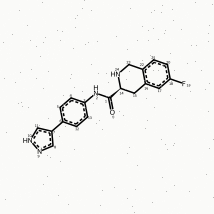 O=C(Nc1ccc(-c2cn[nH]c2)cc1)[C@@H]1Cc2cc(F)ccc2CN1